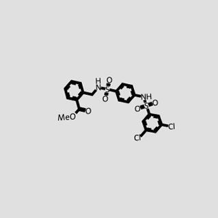 COC(=O)c1ccccc1CNS(=O)(=O)c1ccc(NS(=O)(=O)c2cc(Cl)cc(Cl)c2)cc1